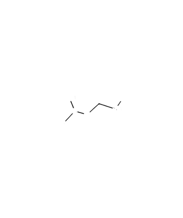 CCNCOB(O)O